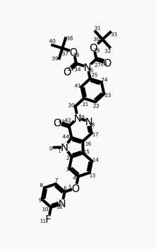 Cn1c2cc(Oc3cccc(F)n3)ccc2c2cnn(Cc3cccc(N(C(=O)OC(C)(C)C)C(=O)OC(C)(C)C)c3)c(=O)c21